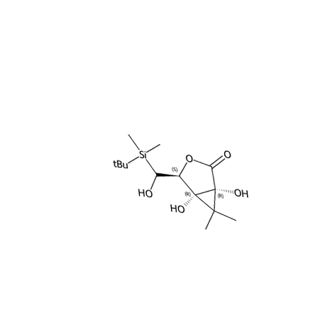 CC1(C)[C@]2(O)C(=O)O[C@H](C(O)[Si](C)(C)C(C)(C)C)[C@]12O